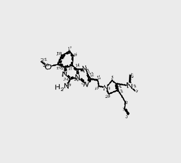 C=CCC1=C(N(C)C)CN(CCc2nc3c4cccc(OC)c4nc(N)n3n2)C1